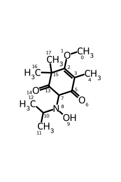 COC1=C(C)C(=O)C(N(O)C(C)C)C(=O)C1(C)C